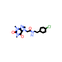 Cn1c(=O)c2c(ncn2CC(=O)NCCc2ccc(Cl)cc2)n(C)c1=O